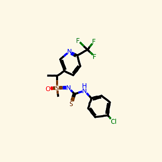 CC(c1ccc(C(F)(F)F)nc1)S(C)(=O)=NC(=S)Nc1ccc(Cl)cc1